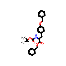 CC(C)(C)OC(=O)NC(Cc1ccc(OCc2ccccc2)cc1)C(=O)OCc1ccccc1